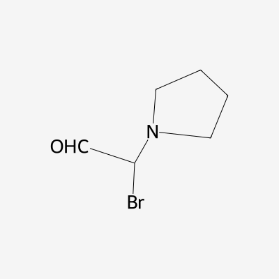 O=CC(Br)N1CCCC1